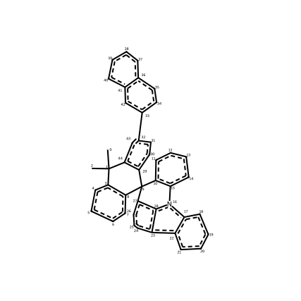 CC1(C)c2ccccc2C2(c3ccccc3-n3c4ccccc4c4cccc2c43)c2ccc(-c3ccc4ccccc4c3)cc21